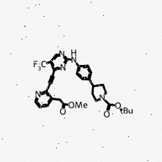 COC(=O)Cc1cccnc1C#Cc1nc(Nc2ccc(C3CCN(C(=O)OC(C)(C)C)CC3)cc2)ncc1C(F)(F)F